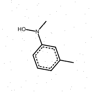 Cc1cccc(N(C)O)c1